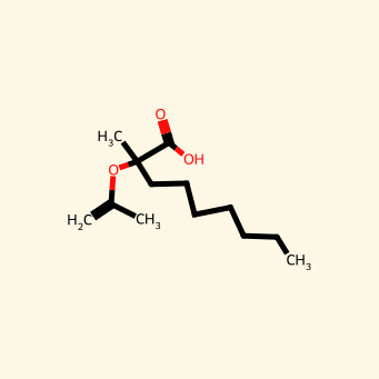 C=C(C)OC(C)(CCCCCCC)C(=O)O